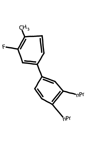 CCCc1ccc(-c2ccc(C)c(F)c2)cc1CCC